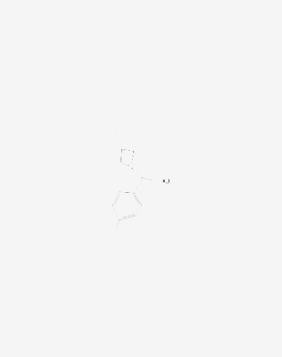 O=C([O-])C(c1ccc(F)cc1)N1CC(OC(F)(F)F)C1.[Li+]